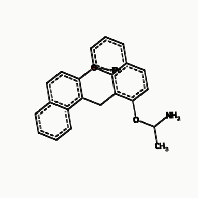 CC(C)Oc1ccc2ccccc2c1Cc1c(OC(C)N)ccc2ccccc12